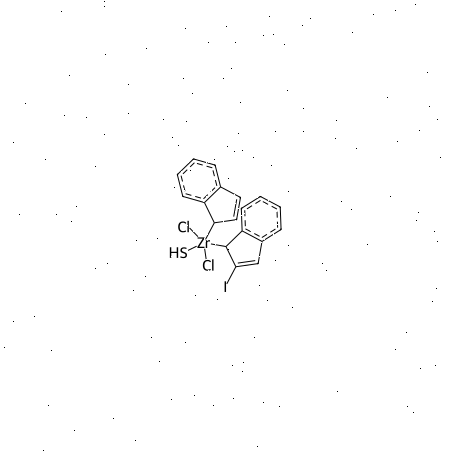 [SH][Zr]([Cl])([Cl])([CH]1C=Cc2ccccc21)[CH]1C(I)=Cc2ccccc21